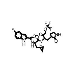 O=C(NC(CC1CC1)C(=O)NC(CC1CCNC1=O)C(=O)COC(F)(F)F)c1cc2cc(F)ccc2[nH]1